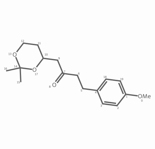 COc1ccc(CCC(=O)CC2CCOC(C)(C)O2)cc1